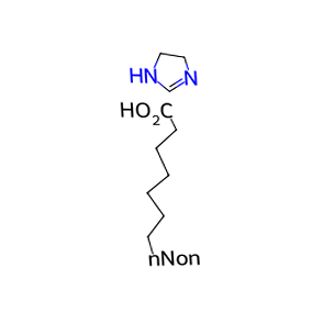 C1=NCCN1.CCCCCCCCCCCCCCCC(=O)O